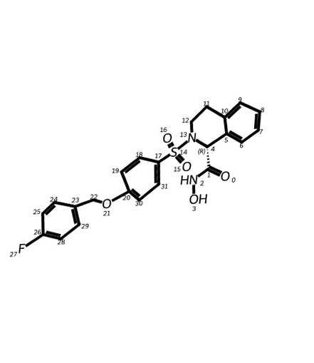 O=C(NO)[C@H]1c2ccccc2CCN1S(=O)(=O)c1ccc(OCc2ccc(F)cc2)cc1